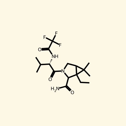 CCC12C(C(N)=O)N(C(=O)[C@@H](NC(=O)C(F)(F)F)C(C)C)CC1C2(C)C